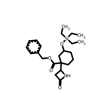 CC[Si](CC)(CC)OC1CCCC(C(=O)OCc2ccccc2)(C2CC(=O)N2)C1